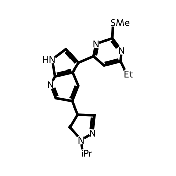 CCc1cc(-c2c[nH]c3ncc(C4C=NN(C(C)C)C4)cc23)nc(SC)n1